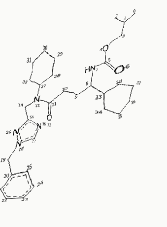 CC(C)COC(=O)NC(CCC(=O)N(Cc1ncn(Cc2ccccc2)n1)C1CCCCC1)C1CCCCC1